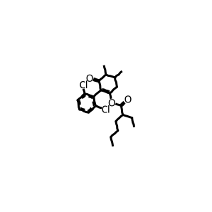 CCCCC(CC)C(=O)OC1=C(c2c(Cl)cccc2Cl)C(=O)C(C)C(C)C1